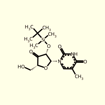 Cc1cn([C@@H]2O[C@H](CO)C(=O)[C@@H]2O[Si](C)(C)C(C)(C)C)c(=O)[nH]c1=O